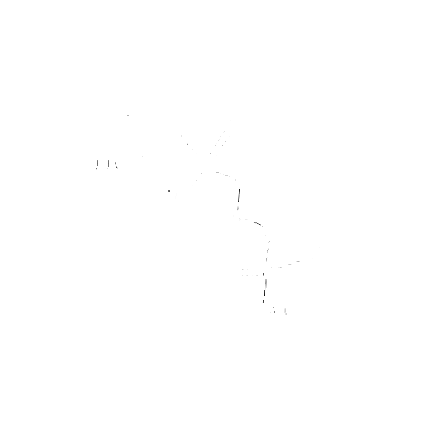 [O]CP(=O)(O)OSOP(=O)(O)OP(=O)(O)O